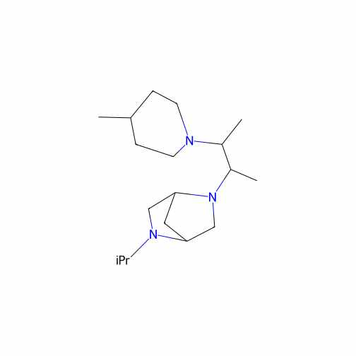 CC1CCN(C(C)C(C)N2CC3CC2CN3C(C)C)CC1